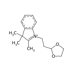 CC1=[N+](CCC2OCCO2)c2ccccc2C1(C)C